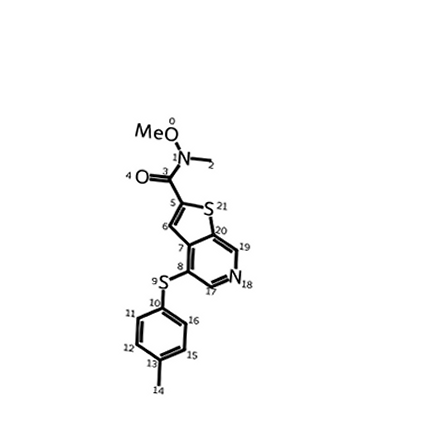 CON(C)C(=O)c1cc2c(Sc3ccc(C)cc3)cncc2s1